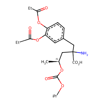 CCC(=O)Oc1ccc(CC(N)(C[C@H](C)OC(=O)OC(C)C)C(=O)O)cc1OC(=O)CC